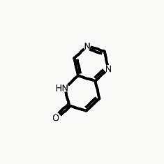 O=c1ccc2ncncc2[nH]1